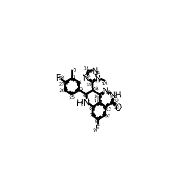 Cc1cc(C2Nc3cc(F)cc4c(=O)[nH]nc(c34)C2c2ncnn2C)ccc1F